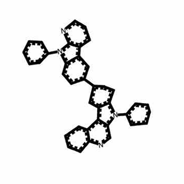 c1ccc(-n2c3ccc(-c4ccc5c(c4)c4cccnc4n5-c4ccccc4)cc3c3c4ccccc4ncc32)cc1